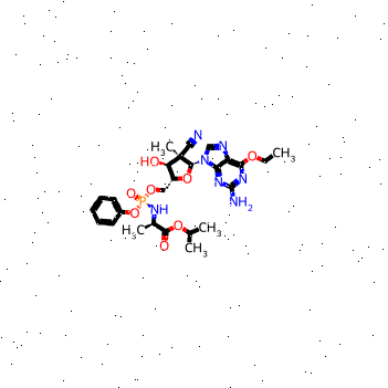 CCOc1nc(N)nc2c1ncn2[C@@H]1O[C@H](CO[P@](=O)(N[C@H](C)C(=O)OC(C)C)Oc2ccccc2)[C@@H](O)[C@@]1(C)C#N